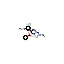 COc1cccc(C2(OC(=O)c3ccccc3)CCN(CN(C)C)CC2)c1.Cl